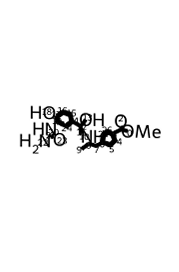 COC(=O)c1ccc(CC(C)NCC(O)c2ccc(O)c(NC(N)=O)c2)cc1